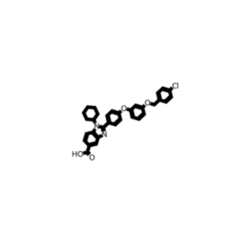 O=C(O)c1ccc2c(c1)nc(-c1ccc(Oc3cccc(OCc4ccc(Cl)cc4)c3)cc1)n2C1CCCCC1